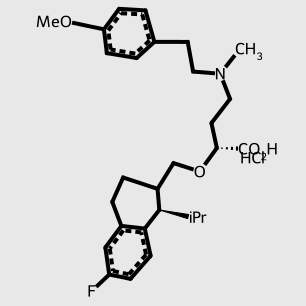 COc1ccc(CCN(C)CC[C@@H](OCC2CCc3cc(F)ccc3[C@@H]2C(C)C)C(=O)O)cc1.Cl